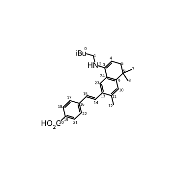 CCC(C)CNC1=CCC(C)(C)c2cc(C)c(C=Cc3ccc(C(=O)O)cc3)cc21